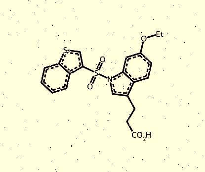 CCOc1ccc2c(CCC(=O)O)cn(S(=O)(=O)c3csc4ccccc34)c2c1